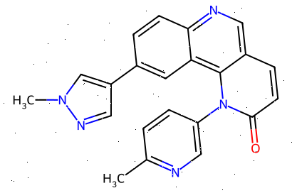 Cc1ccc(-n2c(=O)ccc3cnc4ccc(-c5cnn(C)c5)cc4c32)cn1